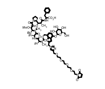 CCC(C)[C@@H]([C@@H](CC(=O)N1CCC[C@H]1[C@H](OC)[C@@H](C)C(=O)NC(Cc1ccccc1)C(=O)O)OC)N(C)C(=O)[C@@H](NC(=O)[C@H](C(C)C)N(C)C(=O)OCc1ccc(O[C@@H]2O[C@H](CO)[C@H](O)[C@H](O)[C@H]2O)c2cc(Cn3cc(COCCOCCOCCOCCN4C(=O)C=CC4=O)nn3)sc12)C(C)C